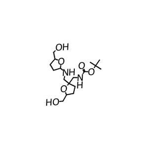 CC(C)(C)OC(=O)NCC1(CNC2CCC(CO)O2)CCC(CO)O1